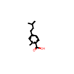 Cc1cc(CCC(C)C)ccc1C(=O)O